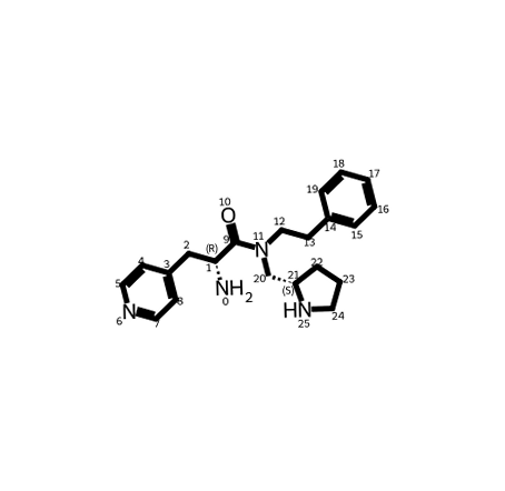 N[C@H](Cc1ccncc1)C(=O)N(CCc1ccccc1)C[C@@H]1CCCN1